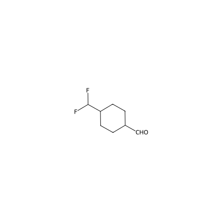 O=CC1CCC(C(F)F)CC1